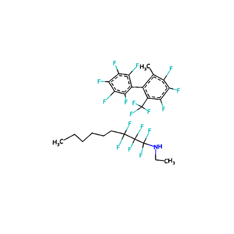 CCCCCCC(F)(F)C(F)(F)C(F)(F)NCC.Cc1c(F)c(F)c(F)c(C(F)(F)F)c1-c1c(F)c(F)c(F)c(F)c1F